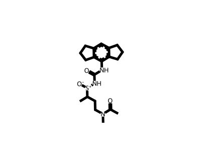 CC(=O)N(C)CCC(C)[S+]([O-])NC(=O)Nc1c2c(cc3c1CCC3)CCC2